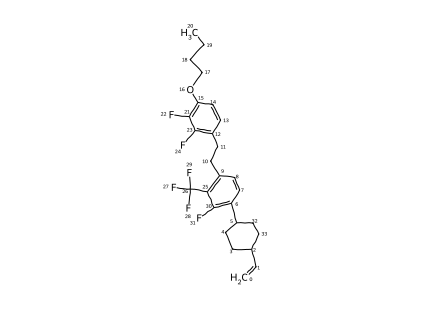 C=CC1CCC(c2ccc(CCc3ccc(OCCCC)c(F)c3F)c(C(F)(F)F)c2F)CC1